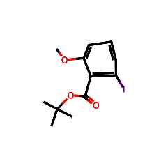 COc1cccc(I)c1C(=O)OC(C)(C)C